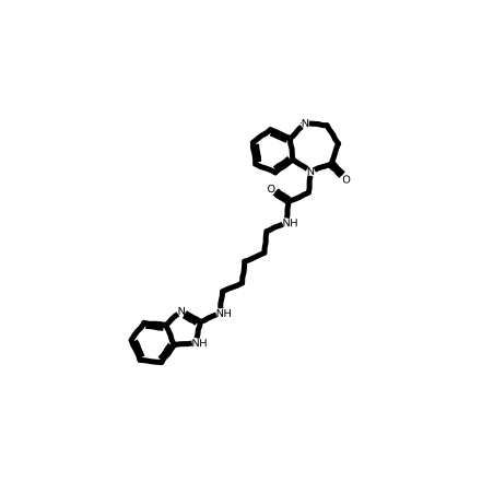 O=C(CN1C(=O)CC[N]c2ccccc21)NCCCCCNc1nc2ccccc2[nH]1